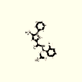 Cc1ccccc1[C@H](CC(=O)O)NC(=O)c1cc(N)n(-c2ccccc2)n1